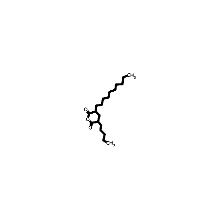 CCCCCCCCCCC1CC(CCCCC)C(=O)OC1=O